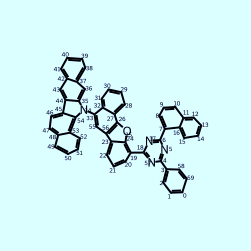 c1ccc(-c2nc(-c3cccc4ccccc34)nc(-c3cccc4c3oc3c5ccccc5c(-n5c6cc7ccccc7cc6c6ccc7ccccc7c65)cc43)n2)cc1